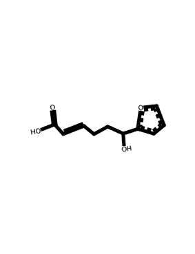 O=C(O)/C=C/CCC(O)c1ccco1